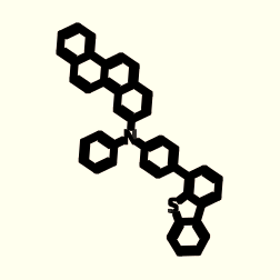 c1ccc(N(c2ccc(-c3cccc4c3sc3ccccc34)cc2)c2ccc3ccc4c5ccccc5ccc4c3c2)cc1